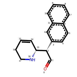 O=C[C@@H](c1ccc2ccccc2c1)[C@H]1C=CCCN1